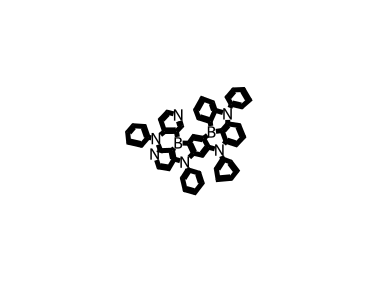 c1ccc(N2c3ccccc3B3c4cc5c(cc4N(c4ccccc4)c4cccc2c43)N(c2ccccc2)c2ccnc3c2B5c2cnccc2N3c2ccccc2)cc1